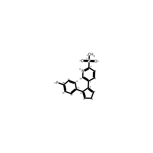 CS(=O)(=O)c1ccc(C2=CCC=C2c2ccc(F)cc2)cn1